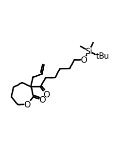 C=CCC1(C(=O)CCCCCO[Si](C)(C)C(C)(C)C)CCCCOC1=O